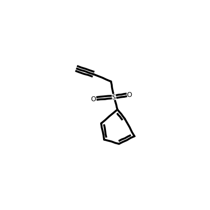 C#CCS(=O)(=O)c1ccccc1